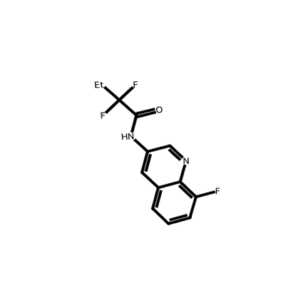 CCC(F)(F)C(=O)Nc1cnc2c(F)cccc2c1